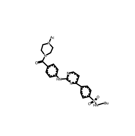 CCC(C)NS(=O)(=O)c1ccc(-c2ccnc(Nc3ccc(C(=O)N4CCN(C(C)=O)CC4)cc3)n2)cc1